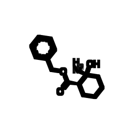 N[C@@]1(O)CCCC[C@H]1C(=O)OCc1ccccc1